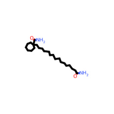 NC(=O)CCCCCCCCCCCCCCCC1(C(N)=O)CCCCCC1